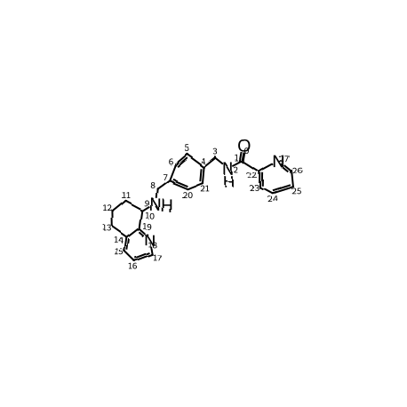 O=C(NCc1ccc(CNC2CCCc3cccnc32)cc1)c1ccccn1